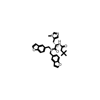 Cn1cncc1C[C@H](NC(=O)CC(C)(C)C)C(=O)N(Cc1ccc2occc2c1)Cc1ccc2occc2c1